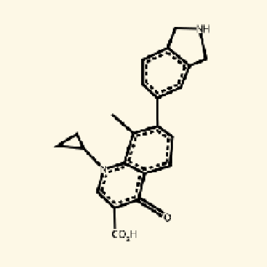 Cc1c(-c2ccc3c(c2)CNC3)ccc2c(=O)c(C(=O)O)cn(C3CC3)c12